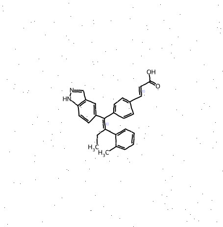 CC/C(=C(/c1ccc(/C=C/C(=O)O)cc1)c1ccc2[nH]ncc2c1)c1ccccc1C